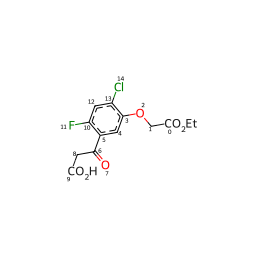 CCOC(=O)COc1cc(C(=O)CC(=O)O)c(F)cc1Cl